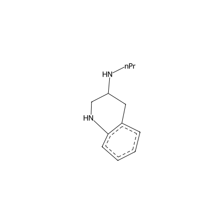 CCCNC1CNc2ccccc2C1